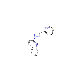 C(=N\Nc1ccc2ccccc2n1)/c1ccccn1